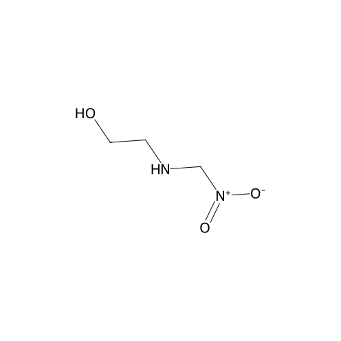 O=[N+]([O-])CNCCO